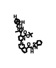 Cc1c(-c2ccc(N3CCc4cccc(C(=O)Nc5nc6ccccc6s5)c4C3)nc2C(=O)OC(C)(C)C)cnn1C[C@@H]1CC[C@@H]2C[C@@H]1C2(C)C